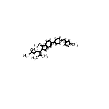 C=C(C)CCC(C(=C)C)C1Cc2cc(C3CCN(CC4=CC(C)=NC4)CC3)ccc2C1=C